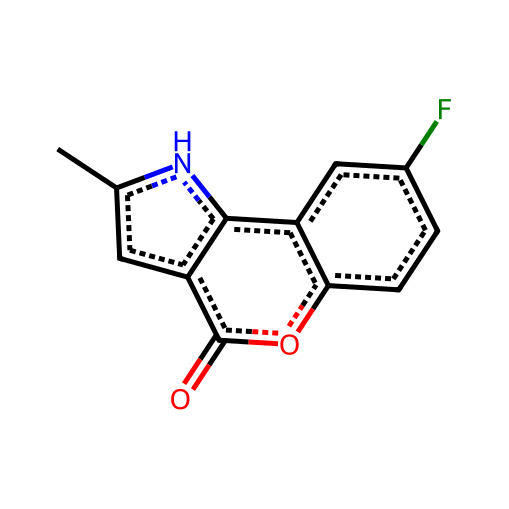 Cc1cc2c(=O)oc3ccc(F)cc3c2[nH]1